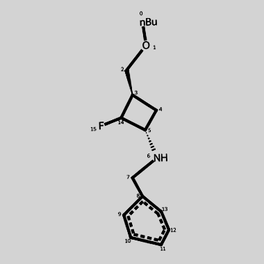 CCCCOC[C@H]1C[C@H](NCc2ccccc2)C1F